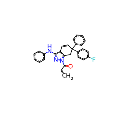 C=CC(=O)n1nc(Nc2ccccc2)c2c1CC(c1ccccc1)(c1ccc(F)cc1)C=C2